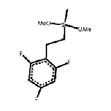 CO[Si](C)(CCc1c(F)cc(F)cc1F)OC